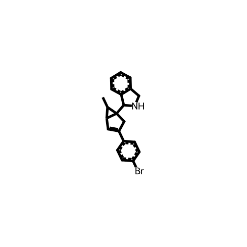 CC1C2C=C(c3ccc(Br)cc3)CC12C1NCc2ccccc21